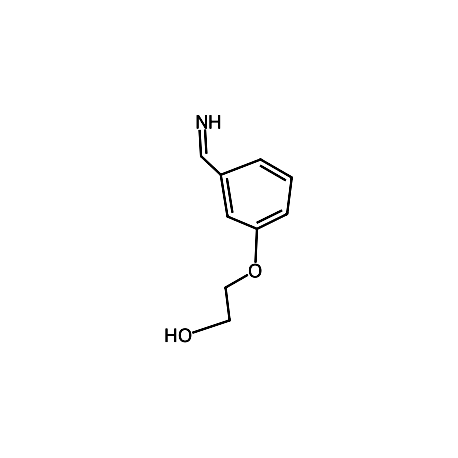 N=Cc1cccc(OCCO)c1